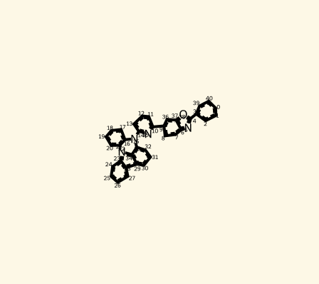 c1ccc(-c2nc3ccc(-c4cccc(N5c6ccccc6-n6c7ccccc7c7cccc5c76)n4)cc3o2)cc1